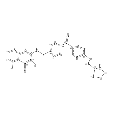 Cc1cccc2nc(SCc3ccc(C(=O)c4ccc(CSC5NCCS5)cc4)cc3)n(C)c(=O)c12